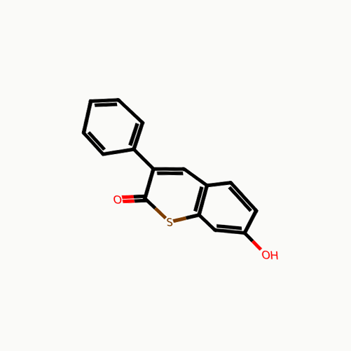 O=c1sc2cc(O)ccc2cc1-c1ccccc1